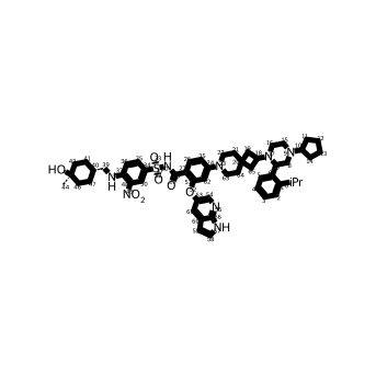 CC(C)c1ccccc1C1CN(C2CCCC2)CCN1C1CC2(CCN(c3ccc(C(=O)NS(=O)(=O)c4ccc(NC[C@H]5CC[C@](C)(O)CC5)c([N+](=O)[O-])c4)c(Oc4cnc5[nH]ccc5c4)c3)CC2)C1